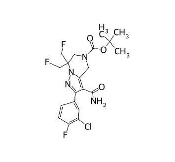 CC(C)(C)OC(=O)N1Cc2c(C(N)=O)c(-c3ccc(F)c(Cl)c3)nn2C(CF)(CF)C1